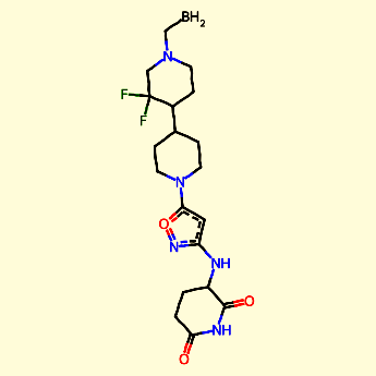 BCN1CCC(C2CCN(c3cc(NC4CCC(=O)NC4=O)no3)CC2)C(F)(F)C1